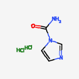 Cl.Cl.NC(=O)n1ccnc1